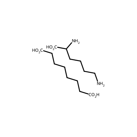 NCCCCC(N)C(=O)O.O=C(O)CCCCCCC(=O)O